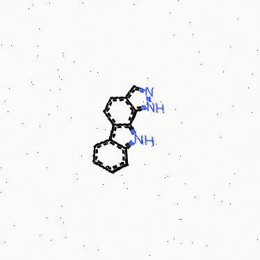 c1ccc2c(c1)[nH]c1c2ccc2cn[nH]c21